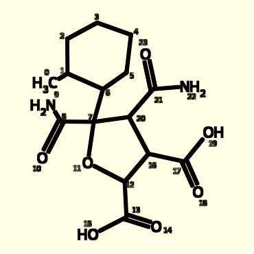 CC1CCCCC1C1(C(N)=O)OC(C(=O)O)C(C(=O)O)C1C(N)=O